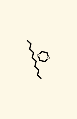 C1COCCO1.CCCCCCCCCC